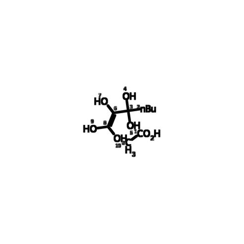 CC(=O)O.CCCCC(O)(O)C(O)=C(O)O